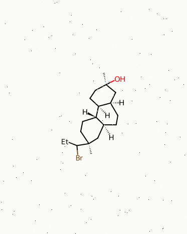 CCC(Br)[C@@]1(C)CC[C@H]2[C@@H](CC[C@@H]3C[C@](C)(O)CC[C@@H]32)C1